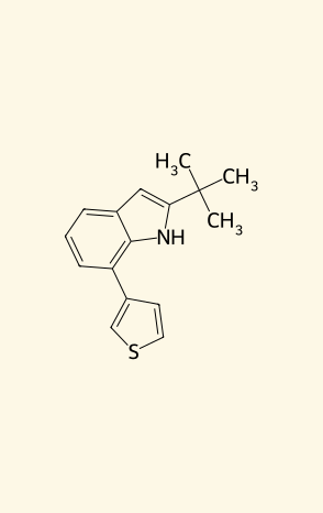 CC(C)(C)c1cc2cccc(-c3ccsc3)c2[nH]1